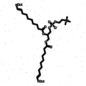 CCCCCCCC/C=C/CCCCCCCC(=O)OCC(COP(=O)([O-])OCC[N+](C)(C)C)OC(=O)CCCCCCC/C=C/CCCCCCCC